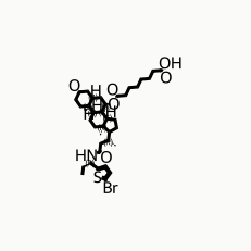 CC[C@@H](NC(=O)C[C@@H](C)C1CC[C@H]2[C@@H]3[C@H](OC(=O)CCCCCCC(=O)O)C[C@@H]4CC(=O)CC[C@]4(C)[C@H]3CC[C@]12C)c1ccc(Br)s1